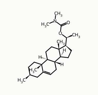 C[C@H]1CC[C@@]2(C)C(=CC[C@H]3[C@@H]4CC[C@H]([C@H](C)OC(=O)N(C)C)[C@@]4(C)CC[C@@H]32)C1